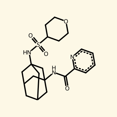 O=C(NC12CC3CC(C1)CC(NS(=O)(=O)C1CCOCC1)(C3)C2)c1ccccn1